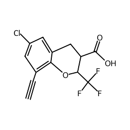 C#Cc1cc(Cl)cc2c1OC(C(F)(F)F)C(C(=O)O)C2